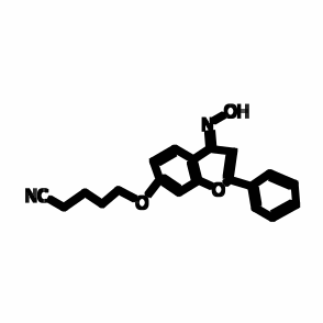 N#CCCCCOc1ccc2/c(=N/O)cc(-c3ccccc3)oc2c1